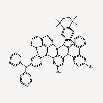 CC(C)(C)c1ccc(N2c3cc(C(C)(C)C)cc4c3B(c3ccccc3N4c3ccc(N(c4ccccc4)c4ccccc4)cc3C3CC=CCC3)c3c2sc2cc4c(cc32)C(C)(C)CCC4(C)C)c(-c2ccccc2)c1